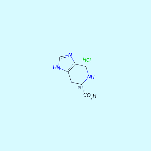 Cl.O=C(O)[C@@H]1Cc2[nH]cnc2CN1